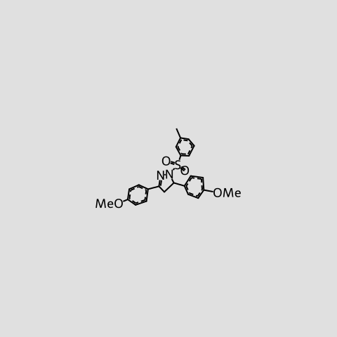 COc1ccc(C2=NN(S(=O)(=O)c3cccc(C)c3)C(c3ccc(OC)cc3)C2)cc1